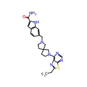 NC(=O)c1cc2ccc(CN3CCC4(CCN(c5ncnc6sc(CC(F)(F)F)nc56)C4)C3)cc2[nH]1